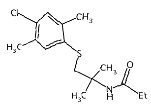 CCC(=O)NC(C)(C)CSc1cc(C)c(Cl)cc1C